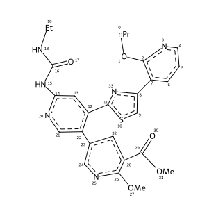 CCCOc1ncccc1-c1csc(-c2cc(NC(=O)NCC)ncc2-c2cnc(OC)c(C(=O)OC)c2)n1